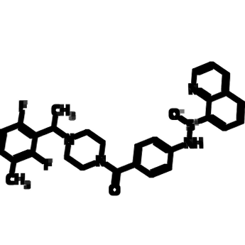 Cc1ccc(F)c(C(C)N2CCN(C(=O)c3ccc(N[S+]([O-])c4cccc5cccnc45)cc3)CC2)c1F